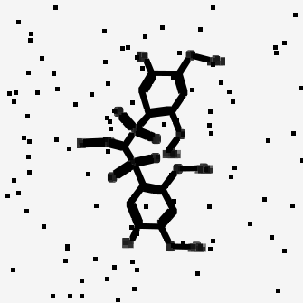 CCCCOc1cc(OCCCC)c(S(=O)(=O)C(=[N+]=[N-])S(=O)(=O)c2cc(CC)c(OCCCC)cc2OCCCC)cc1CC